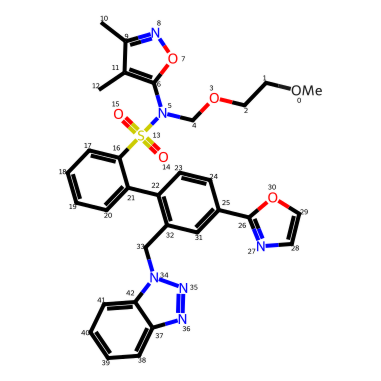 COCCOCN(c1onc(C)c1C)S(=O)(=O)c1ccccc1-c1ccc(-c2ncco2)cc1Cn1nnc2ccccc21